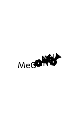 COc1ccc(-c2nc3c4cccc(C5CC5)c4ncn3n2)cc1